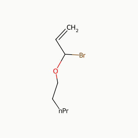 C=CC(Br)OCCCCC